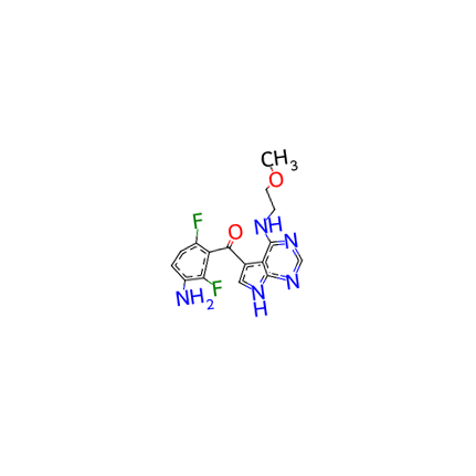 COCCNc1ncnc2[nH]cc(C(=O)c3c(F)ccc(N)c3F)c12